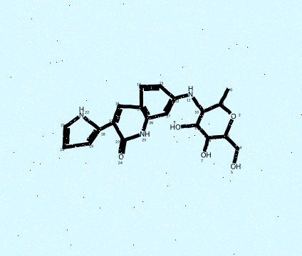 CC1OC(CO)C(O)C(O)C1Nc1ccc2cc(-c3ccc[nH]3)c(=O)[nH]c2c1